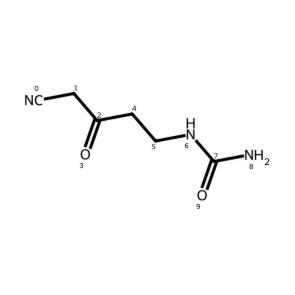 N#CCC(=O)CCNC(N)=O